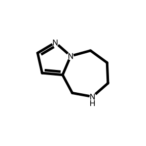 c1cc2n(n1)CCCNC2